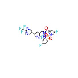 O=C(NCc1cc(-c2cnc(C(F)(F)F)nc2)cnc1F)[C@@H]1C[C@@H](F)CN1S(=O)(=O)c1ccc(F)cc1